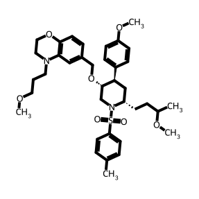 COCCCN1CCOc2ccc(CO[C@H]3CN(S(=O)(=O)c4ccc(C)cc4)[C@@H](CCC(C)OC)C[C@@H]3c3ccc(OC)cc3)cc21